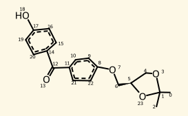 CC1(C)OC[C@H](COc2ccc(C(=O)c3ccc(O)cc3)cc2)O1